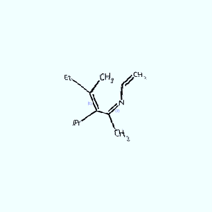 C=C/N=C(C)\C(=C(/C)CC)C(C)C